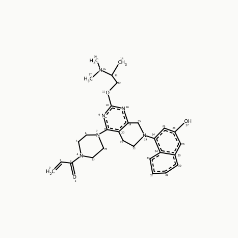 C=CC(=O)N1CCN(c2nc(OCC(C)N(C)C)nc3c2CCN(c2cc(O)cc4ccccc24)C3)CC1